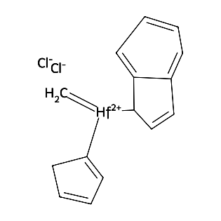 [CH2]=[Hf+2]([C]1=CC=CC1)[CH]1C=Cc2ccccc21.[Cl-].[Cl-]